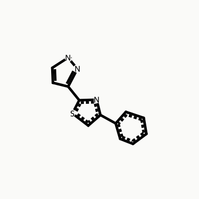 C1=CC(c2nc(-c3ccccc3)cs2)=N[N]1